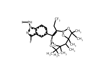 CC1C2(C)OB(OC2(C)C)/C(CC(F)(F)F)=C(/c2ccc3c(c2)c(F)nn3PI)B2OC(C)(C)C1(C)O2